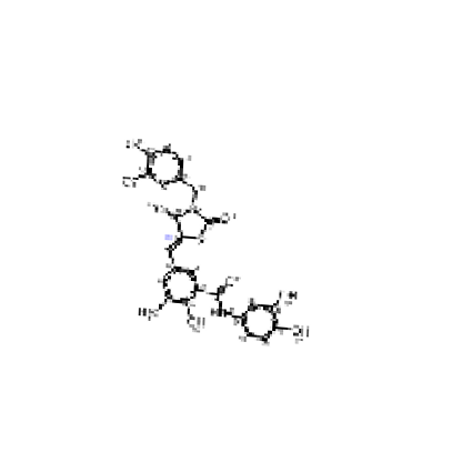 Cc1cc(/C=C2\SC(=O)N(Cc3ccc(Cl)c(Cl)c3)C2=O)cc(C(=O)Nc2ccc(O)c(O)c2)c1O